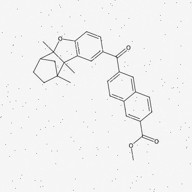 COC(=O)c1ccc2cc(C(=O)c3ccc4c(c3)C3(C)C5(C)CCC(C5)C3(C)O4)ccc2c1